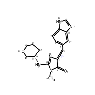 CN1C(=O)/C(=C/c2ccc3[nH]cnc3c2)N=C1N[C@H]1CCCOC1